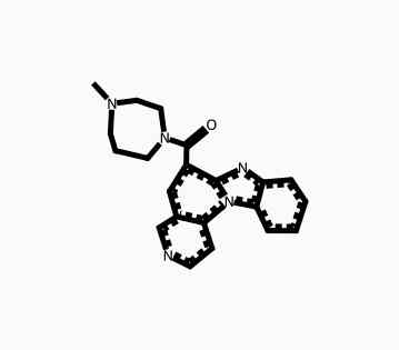 CN1CCCN(C(=O)c2cc3cnccc3n3c2nc2ccccc23)CC1